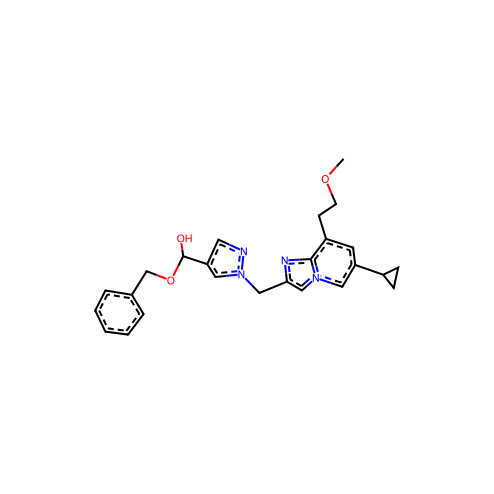 COCCc1cc(C2CC2)cn2cc(Cn3cc(C(O)OCc4ccccc4)cn3)nc12